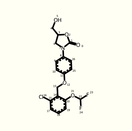 O=C1OC(CO)CN1c1ccc(OCc2c(Cl)cccc2OC(F)F)cc1